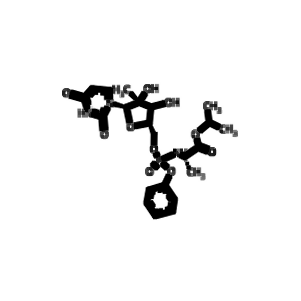 CC(C)OC(=O)[C@H](C)NP(=O)(OC[C@H]1O[C@@H](n2ccc(=O)[nH]c2=O)[C@](C)(O)C1O)Oc1ccccc1